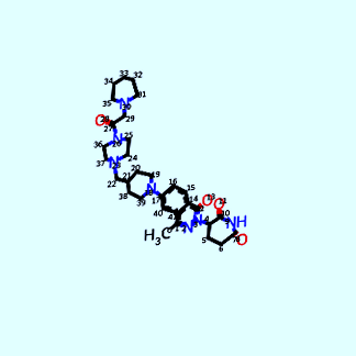 Cc1nn(C2CCC(=O)NC2=O)c(=O)c2ccc(N3CCC(CN4CCN(C(=O)CN5CCCCC5)CC4)CC3)cc12